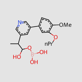 CCCOc1cc(-c2cncc(C(C)C(O)OB(O)O)c2)ccc1OC